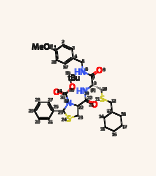 COc1ccc(CNC(=O)[C@H](CSCC2CCCCC2)NC(=O)C2CSC(c3ccccc3)N2C(=O)OC(C)(C)C)cc1